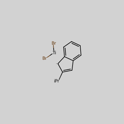 CC(C)C1=Cc2ccccc2[CH]1.[Br][Ti][Br]